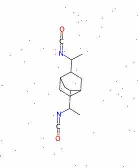 CC(N=C=O)C1CC2CCC1CC2C(C)N=C=O